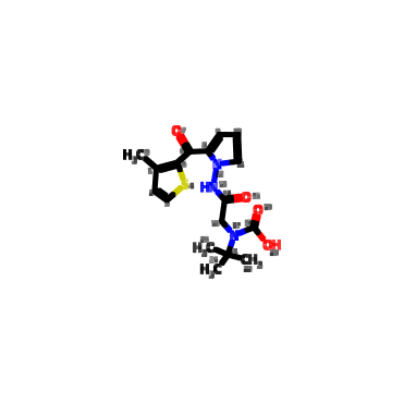 Cc1ccsc1C(=O)c1cccn1NC(=O)CN(C(=O)O)C(C)(C)C